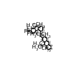 CC(C)(C)c1c2ccccc2cc2ccc(CC(C)(C)c3cccc4c3-c3ccc(C(F)(F)F)cc3C4(C)C)cc12